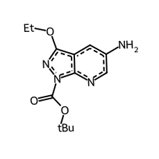 CCOc1nn(C(=O)OC(C)(C)C)c2ncc(N)cc12